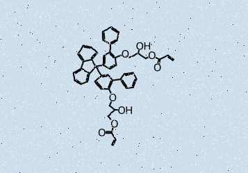 C=CC(=O)OCC(O)COc1ccc(C2(c3ccc(OCC(O)COC(=O)C=C)c(-c4ccccc4)c3)c3ccccc3-c3ccccc32)cc1-c1ccccc1